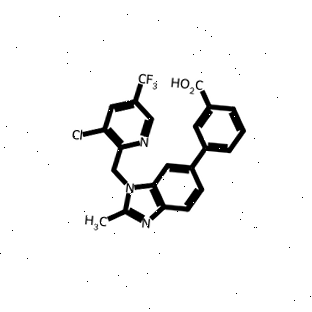 Cc1nc2ccc(-c3cccc(C(=O)O)c3)cc2n1Cc1ncc(C(F)(F)F)cc1Cl